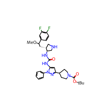 COC(C[C@@H]1CNC[C@H]1NC(=O)Nc1cc(C2CCN(C(=O)OC(C)(C)C)CC2)nn1-c1ccccc1)c1ccc(F)c(F)c1